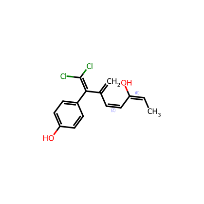 C=C(/C=C\C(O)=C/C)C(=C(Cl)Cl)c1ccc(O)cc1